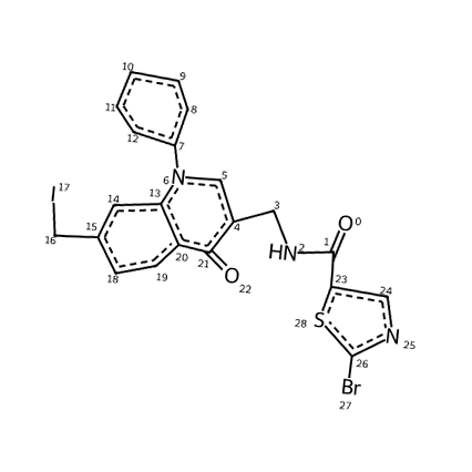 O=C(NCc1cn(-c2ccccc2)c2cc(CI)ccc2c1=O)c1cnc(Br)s1